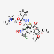 COc1ccc([C@H](Cc2c(Cl)c[n+](O)cc2Cl)c2cc(CNC(C(=O)OC[C@H]3CCN3C)c3ccccc3)sc2C(=O)[O-])cc1OC